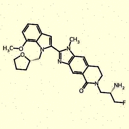 COc1cccc2cc(-c3nc4cc5c(cc4n3C)CCN(C[C@H](N)CF)C5=O)n(C[C@@H]3CCCO3)c12